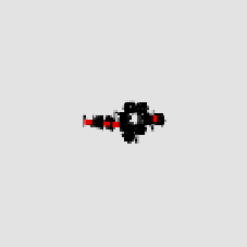 N#Cc1ccc(-c2ccc(-c3cc4c5cccnc5c(-c5cccc(-c6nc(-c7ccccc7)nc(-c7cccc(-c8ccccc8)c7)n6)c5)cc4c4cccnc34)cc2)cc1